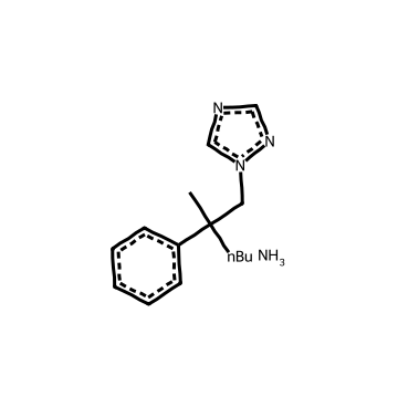 CCCCC(C)(Cn1cncn1)c1ccccc1.N